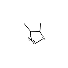 CC1N=[C]SC1C